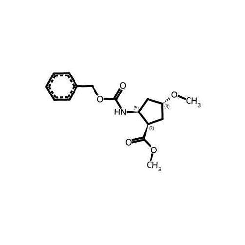 COC(=O)[C@@H]1C[C@@H](OC)C[C@@H]1NC(=O)OCc1ccccc1